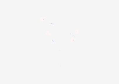 O=C(c1cc([N+](=O)[O-])ccc1N1CCOCC1)N1CCc2cc(Cl)ccc2C1